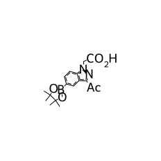 CC(=O)c1nn(CC(=O)O)c2ccc(B3OC(C)(C)C(C)(C)O3)cc12